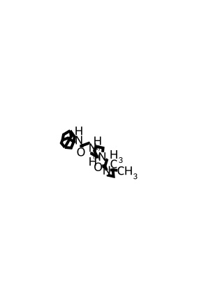 CC1(C)CCN1C(=O)CN1C[C@@H]2C[C@H]1CN2CC(=O)NC12CC3CC(CC(C3)C1)C2